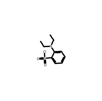 CCN(CC)c1ccccc1S(=O)(=O)Cl